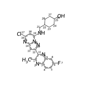 Cc1nc2ccc(F)cc2nc1-c1cc2nc(Cl)cc(NCC3CCC(O)CC3)n2n1